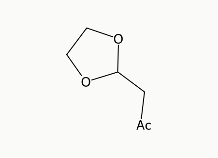 CC(=O)CC1OCCO1